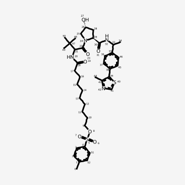 Cc1ccc(S(=O)(=O)OCCCCCCCCCC(=O)NC(C(=O)N2C[C@H](O)C[C@H]2C(=O)NC(C)c2ccc(-c3scnc3C)cc2)C(C)(C)C)cc1